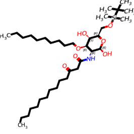 CCCCCCCCCCCC(=O)CC(=O)N[C@@H]1[C@@H](OCCCCCCCCCC)[C@H](O)[C@@H](CO[Si](C)(C)C(C)(C)C)O[C@H]1O